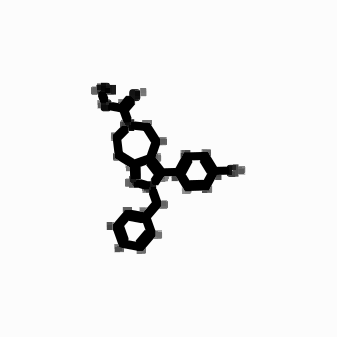 CC(C)(C)OC(=O)N1CCc2nn(Cc3ccccc3)c(-c3ccc(Cl)cc3)c2CC1